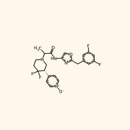 CC(C(=O)Nc1coc(Cc2cc(F)cc(F)c2)n1)N1CCC(F)(F)[C@@H](c2cc[n+]([O-])cc2)C1